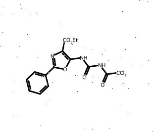 CCOC(=O)c1nc(-c2ccccc2)oc1NC(=O)NC(=O)C(Cl)(Cl)Cl